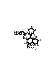 CC(C)(C)CC(=O)N1CCCCN1c1ccc([N+](=O)[O-])c2ccccc12